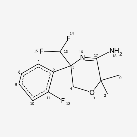 CC1(C)OCC(c2c[c]ccc2F)(C(F)F)N=C1N